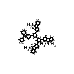 CC1(C)c2ccccc2-c2ccc(-c3cc(-c4cc(-c5ccc6c(c5)C(C)(C)c5ccccc5-6)cc(-c5ccc6c(c5)c5ccccc5n6-c5ccccc5)c4)cc(-c4ccc5c(c4)C(C)(C)c4ccccc4-5)c3)cc21